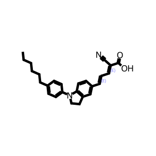 CCCCCCc1ccc(N2CCc3cc(/C=C/C=C(\C#N)C(=O)O)ccc32)cc1